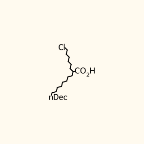 CCCCCCCCCCCCCCCCCCC(CCCCCCCl)C(=O)O